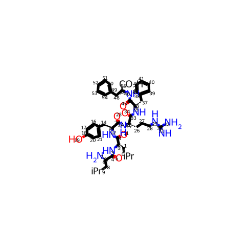 CC(C)C[C@H](NC(=O)[C@@H](N)CC(C)C)C(=O)N[C@@H](Cc1ccc(O)cc1)C(=O)N[C@@H](CCCNC(=N)N)C(=O)N[C@@H](Cc1ccccc1)C(=O)N[C@@H](Cc1ccccc1)C(=O)O